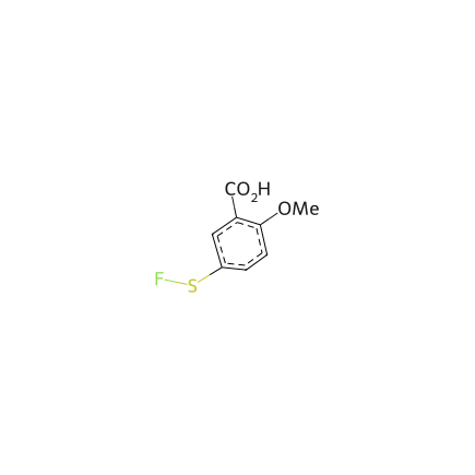 COc1ccc(SF)cc1C(=O)O